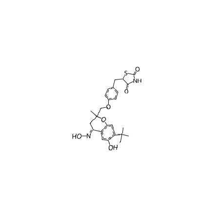 CC1(COc2ccc(CC3SC(=O)NC3=O)cc2)CC(=NO)c2cc(O)c(C(C)(C)C)cc2O1